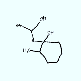 CC(C)C(O)NC1(O)CCCCC1C